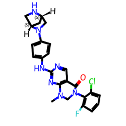 CN1CN(c2c(F)cccc2Cl)C(=O)c2cnc(Nc3ccc(N4C[C@@H]5C[C@H]4CN5)cc3)nc21